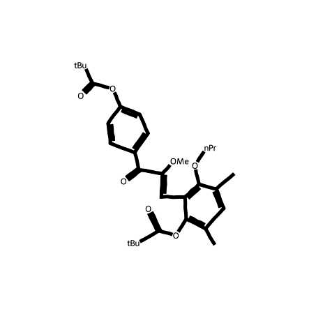 CCCOc1c(C)cc(C)c(OC(=O)C(C)(C)C)c1C=C(OC)C(=O)c1ccc(OC(=O)C(C)(C)C)cc1